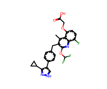 Cc1c(Cc2ccc(-c3c[nH]nc3C3CC3)cc2)c(OC(F)F)nc2c(F)ccc(OCC(=O)O)c12